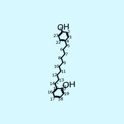 Oc1ccc(CCCCCCCCC[CH]c2ccccc2O)cc1